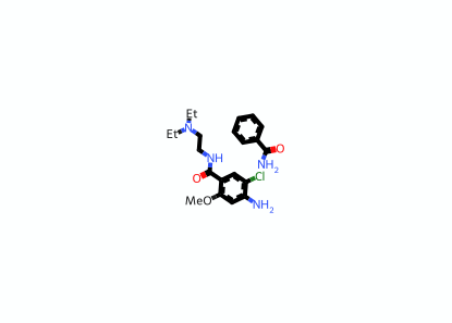 CCN(CC)CCNC(=O)c1cc(Cl)c(N)cc1OC.NC(=O)c1ccccc1